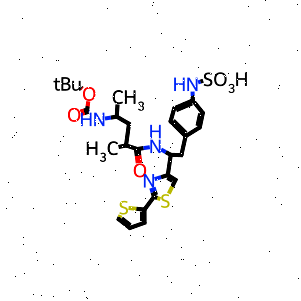 CC(CC(C)C(=O)NC(Cc1ccc(NS(=O)(=O)O)cc1)c1csc(-c2cccs2)n1)NC(=O)OC(C)(C)C